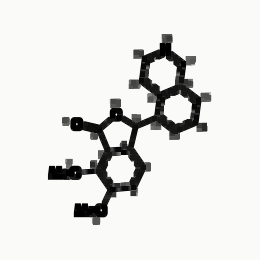 COc1ccc2c(c1OC)C(=O)OC2c1cccc2cnccc12